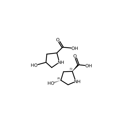 O=C(O)C1CC(O)CN1.O=C(O)[C@@H]1C[C@@H](O)CN1